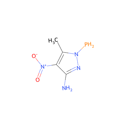 Cc1c([N+](=O)[O-])c(N)nn1P